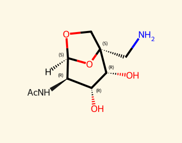 CC(=O)N[C@H]1[C@H]2OC[C@](CN)(O2)[C@H](O)[C@@H]1O